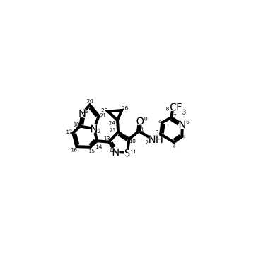 O=C(Nc1ccnc(C(F)(F)F)c1)c1snc(-c2cccc3nccn23)c1C1CC1